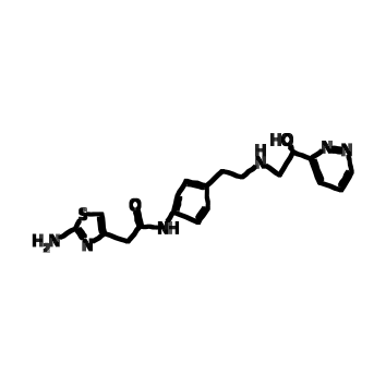 Nc1nc(CC(=O)Nc2ccc(CCNC[C@@H](O)c3cccnn3)cc2)cs1